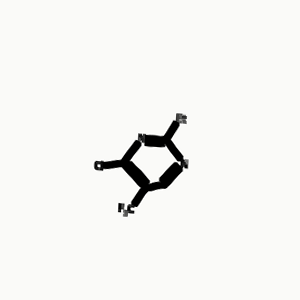 CCc1ncc(C(F)(F)F)c(Cl)n1